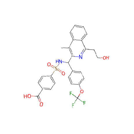 Cc1c(C(NS(=O)(=O)c2ccc(C(=O)O)cc2)c2ccc(OC(F)(F)F)cc2)nc(CCO)c2ccccc12